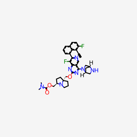 C#Cc1c(F)ccc2cccc(-c3ncc4c(N5C[C@H]6C[C@@H]5CN6)nc(OC[C@]56CCCN5[C@@H](COC(=O)N(C)C)CC6)nc4c3F)c12